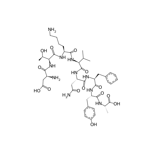 CC(C)[C@H](NC(=O)[C@H](CCCCN)NC(=O)[C@@H](NC(=O)[C@@H](N)CC(=O)O)[C@@H](C)O)C(=O)N[C@@H](CC(N)=O)C(=O)N[C@@H](Cc1ccccc1)C(=O)N[C@@H](Cc1ccc(O)cc1)C(=O)N[C@@H](C)C(=O)O